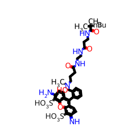 CCCCC(C)(C)C(=O)NCCC(=O)NCCNC(=O)CCCN(C)C(O)c1ccccc1-c1c2ccc(=N)c(S(=O)(=O)O)c-2oc2c(S(=O)(=O)O)c(N)ccc12